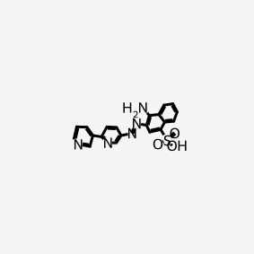 Nc1c(/N=N/c2ccc(-c3cccnc3)nc2)cc(S(=O)(=O)O)c2ccccc12